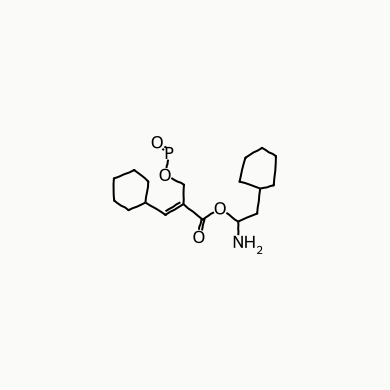 NC(CC1CCCCC1)OC(=O)C(=CC1CCCCC1)COP=O